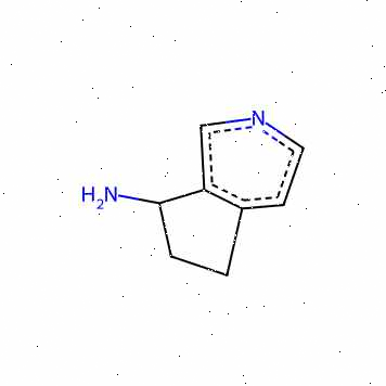 NC1CCc2ccncc21